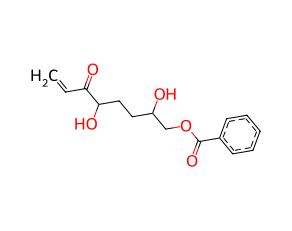 C=CC(=O)C(O)CCC(O)COC(=O)c1ccccc1